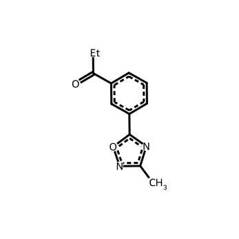 CCC(=O)c1cccc(-c2nc(C)no2)c1